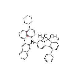 CC1(C)c2cc(N(c3ccc(C4CCCCC4)cc3)c3cc4ccccc4cc3-c3ccccc3)ccc2-c2c(-c3ccccc3)cccc21